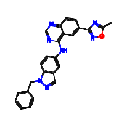 Cc1nc(-c2ccc3ncnc(Nc4ccc5c(cnn5Cc5ccccc5)c4)c3c2)no1